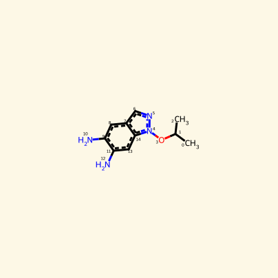 CC(C)On1ncc2cc(N)c(N)cc21